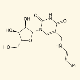 CC(C)C=CNCc1cn([C@@H]2O[C@H](CO)[C@@H](O)[C@H]2O)c(=O)[nH]c1=O